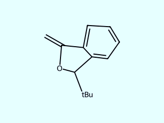 C=C1OC(C(C)(C)C)c2ccccc21